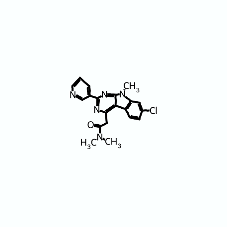 CN(C)C(=O)Cc1nc(-c2cccnc2)nc2c1c1ccc(Cl)cc1n2C